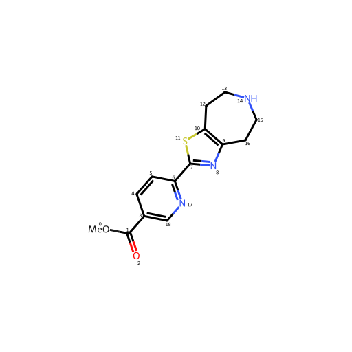 COC(=O)c1ccc(-c2nc3c(s2)CCNCC3)nc1